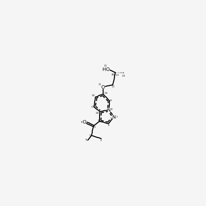 CC(C)C(=O)c1cnn2cc(OC[C@@H](C)O)ccc12